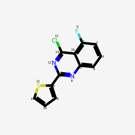 Fc1cccc2nc(-c3cccs3)nc(Cl)c12